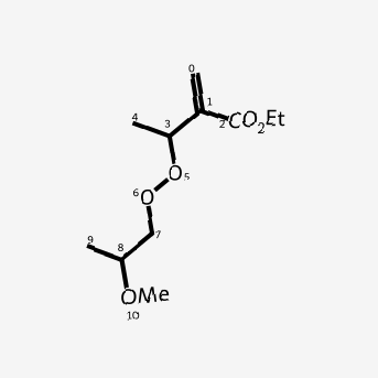 C=C(C(=O)OCC)C(C)OOCC(C)OC